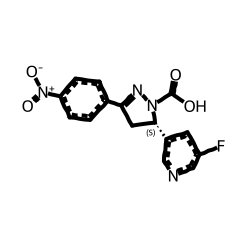 O=C(O)N1N=C(c2ccc([N+](=O)[O-])cc2)C[C@H]1c1cncc(F)c1